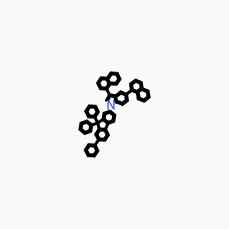 c1ccc(-c2ccc3c(c2)C(c2ccccc2)(c2ccccc2)c2cc(-n4cc(-c5cccc6ccccc56)c5cc(-c6cccc7ccccc67)ccc54)ccc2-3)cc1